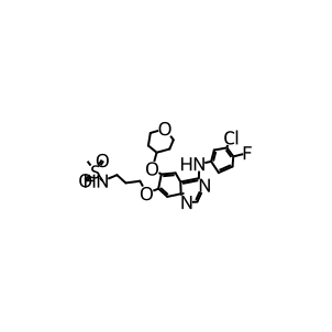 CS(=O)(=O)NCCCOc1cc2ncnc(Nc3ccc(F)c(Cl)c3)c2cc1OC1CCOCC1